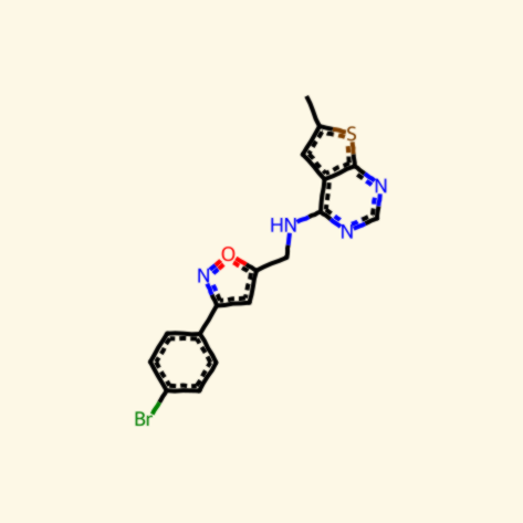 Cc1cc2c(NCc3cc(-c4ccc(Br)cc4)no3)ncnc2s1